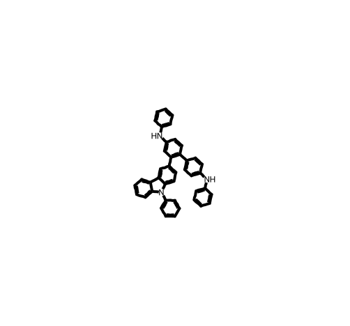 c1ccc(Nc2ccc(-c3ccc(Nc4ccccc4)cc3-c3ccc4c(c3)c3ccccc3n4-c3ccccc3)cc2)cc1